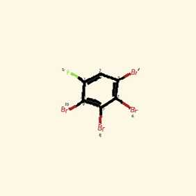 Fc1cc(Br)c(Br)c(Br)c1Br